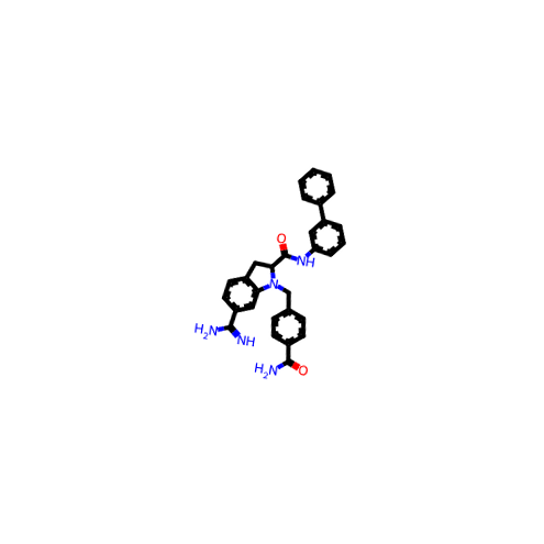 N=C(N)c1ccc2c(c1)N(Cc1ccc(C(N)=O)cc1)C(C(=O)Nc1cccc(-c3ccccc3)c1)C2